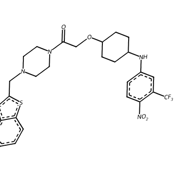 O=C(COC1CCC(Nc2ccc([N+](=O)[O-])c(C(F)(F)F)c2)CC1)N1CCN(Cc2nc3cc(F)ccc3s2)CC1